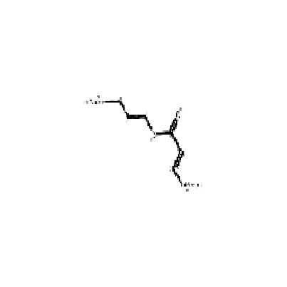 CCCCCCC/C=C/C(=O)SCCCCCCCCCCCC